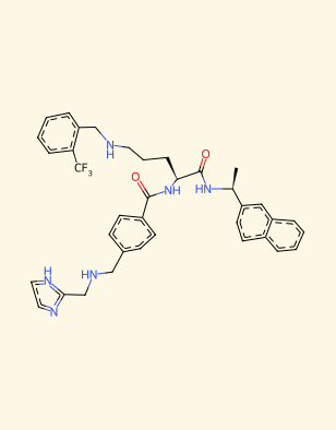 C[C@H](NC(=O)[C@H](CCCNCc1ccccc1C(F)(F)F)NC(=O)c1ccc(CNCc2ncc[nH]2)cc1)c1ccc2ccccc2c1